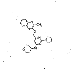 Cc1nc2ccccc2nc1OCc1cc(NC2CCOCC2)nc(N2CCCC2)n1